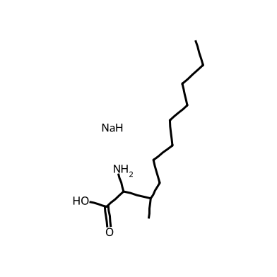 CCCCCCCCC(C)C(N)C(=O)O.[NaH]